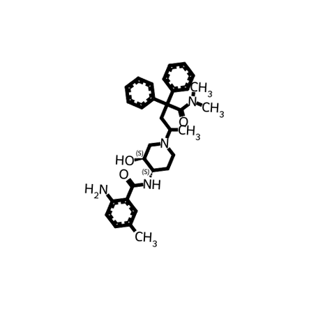 Cc1ccc(N)c(C(=O)N[C@H]2CCN(C(C)CC(C(=O)N(C)C)(c3ccccc3)c3ccccc3)C[C@@H]2O)c1